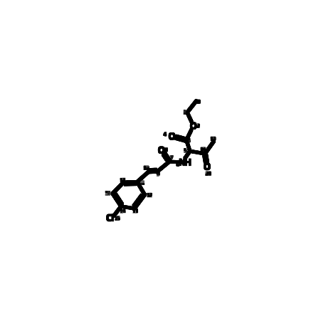 CCOC(=O)C(NC(=O)/C=C/c1ccc(Cl)cc1)C(C)=O